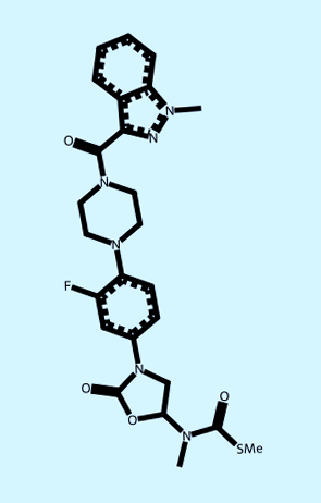 CSC(=O)N(C)C1CN(c2ccc(N3CCN(C(=O)c4nn(C)c5ccccc45)CC3)c(F)c2)C(=O)O1